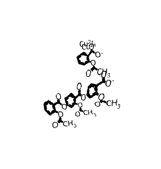 CC(=O)Oc1ccccc1C(=O)[O-].CC(=O)Oc1ccccc1C(=O)[O-].CC(=O)Oc1ccccc1C(=O)[O-].CC(=O)Oc1ccccc1C(=O)[O-].[Cu+2].[Cu+2]